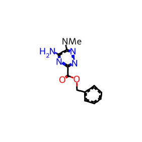 CNc1nnc(C(=O)OCc2ccccc2)nc1N